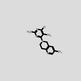 Cc1nc(Cl)c(C)c(N2CCc3ncc(C(F)(F)F)cc3C2)n1